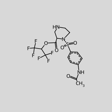 CC(=O)Nc1ccc(S(=O)(=O)N2CCNCC2C(=O)OC(C(F)(F)F)C(F)(F)F)cc1